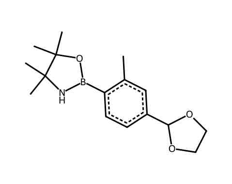 Cc1cc(C2OCCO2)ccc1B1NC(C)(C)C(C)(C)O1